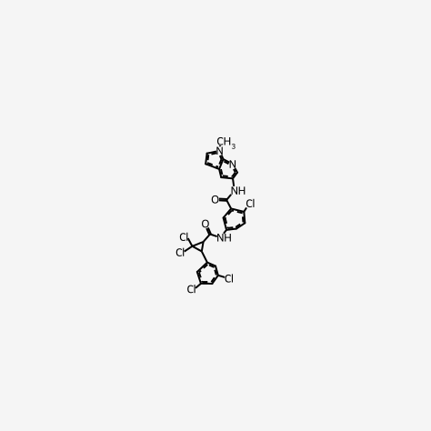 Cn1ccc2cc(NC(=O)c3cc(NC(=O)C4C(c5cc(Cl)cc(Cl)c5)C4(Cl)Cl)ccc3Cl)cnc21